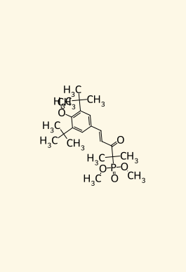 COc1c(C(C)(C)C)cc(/C=C/C(=O)C(C)(C)P(=O)(OC)OC)cc1C(C)(C)C